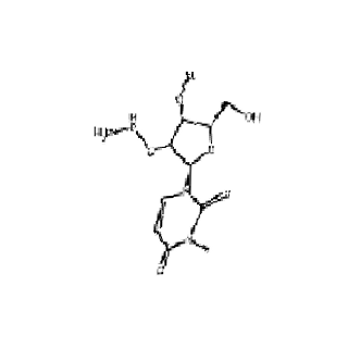 CCO[C@@H]1C(OPP)[C@H](n2ccc(=O)n(C)c2=O)O[C@@H]1CO